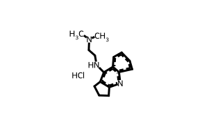 CN(C)CCNc1c2c(nc3ccccc13)CCC2.Cl